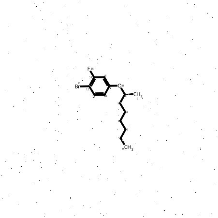 CCCCCC[C@H](C)Oc1ccc(Br)c(F)c1